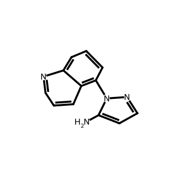 Nc1ccnn1-c1cccc2ncccc12